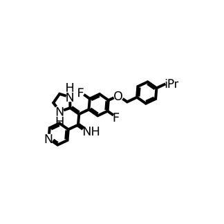 CC(C)c1ccc(COc2cc(F)c(C(C(=N)c3ccncc3)=C3NCCN3)cc2F)cc1